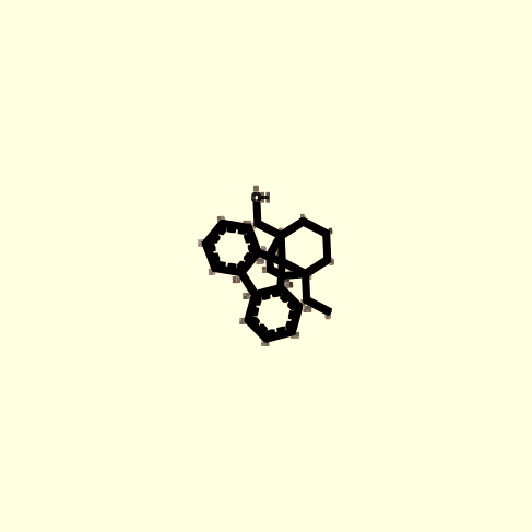 CCC12CCCC(CO)(CCC1)C21c2ccccc2-c2ccccc21